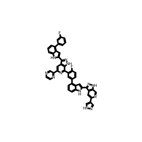 Fc1cccc(-c2cccc3[nH]c(-c4n[nH]c5c(-c6cc(-c7cccc8[nH]c(-c9n[nH]c%10cnc(-c%11cn[nH]c%11)cc9%10)cc78)ccc6F)nc(-c6cnccn6)cc45)cc23)c1